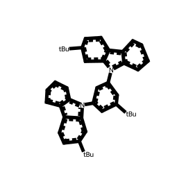 CC(C)(C)c1cc(-n2c3ccccc3c3ccc(C(C)(C)C)cc32)cc(-n2c3ccccc3c3ccc(C(C)(C)C)cc32)c1